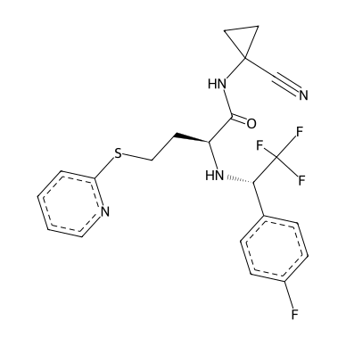 N#CC1(NC(=O)[C@H](CCSc2ccccn2)N[C@@H](c2ccc(F)cc2)C(F)(F)F)CC1